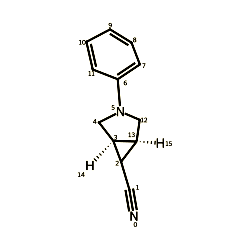 N#CC1[C@H]2CN(c3ccccc3)C[C@@H]12